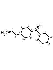 C=CCC1CCC(C(O)C2CCCCC2)CC1